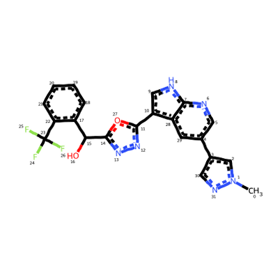 Cn1cc(-c2cnc3[nH]cc(-c4nnc(C(O)c5ccccc5C(F)(F)F)o4)c3c2)cn1